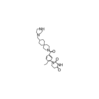 CCc1ccc(C(=O)N2CCC3(CCC(CN4CCNCC4)CC3)CC2)cc1N1CCC(=O)NC1=O